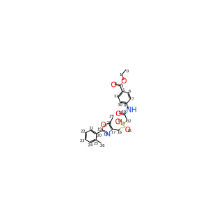 CCOC(=O)c1ccc(NC(=O)CS(=O)(=O)Cc2nc(-c3ccccc3C)oc2C)cc1